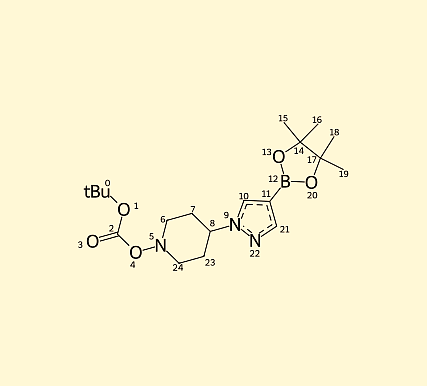 CC(C)(C)OC(=O)ON1CCC(n2cc(B3OC(C)(C)C(C)(C)O3)cn2)CC1